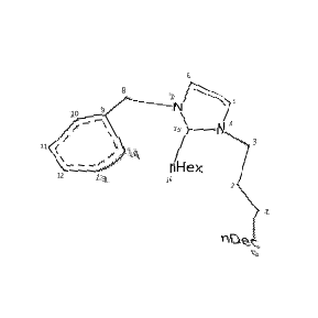 CCCCCCCCCCCCCN1C=CN(Cc2ccccc2)C1CCCCCC